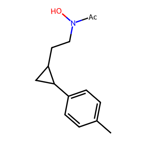 CC(=O)N(O)CCC1CC1c1ccc(C)cc1